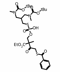 CCOC(=O)C(C)(COP(=O)(O)SCC(CN(C)C(=O)OC(C)(C)C)CN(C)C(=O)OC(C)(C)C)C(=O)CSC(=O)c1ccccc1